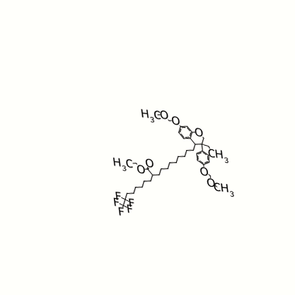 CCOC(=O)C(CCCCCCCCCC1c2ccc(OCOC)cc2OCC1(CC)c1ccc(OCOC)cc1)CCCCCCC(F)(F)C(F)(F)F